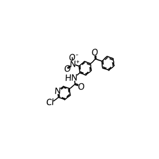 O=C(Nc1ccc(C(=O)c2ccccc2)cc1[N+](=O)[O-])c1ccc(Cl)nc1